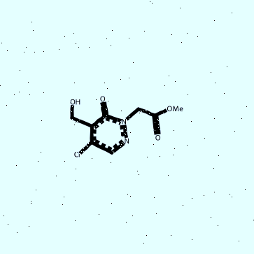 COC(=O)Cn1ncc(Cl)c(CO)c1=O